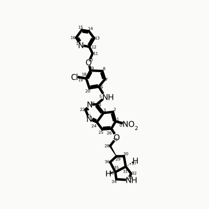 O=[N+]([O-])c1cc2c(Nc3ccc(OCc4ccccn4)c(Cl)c3)ncnc2cc1OC[C@H]1C[C@H]2CNC[C@H]2C1